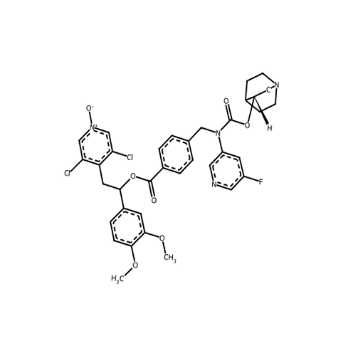 COc1ccc(C(Cc2c(Cl)c[n+]([O-])cc2Cl)OC(=O)c2ccc(CN(C(=O)O[C@H]3CN4CCC3CC4)c3cncc(F)c3)cc2)cc1OC